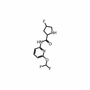 O=C(Nc1cccc(OC(F)F)n1)C1CC(F)CN1